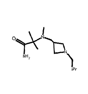 CC(C)CN1CC(N(C)C(C)(C)C(N)=O)C1